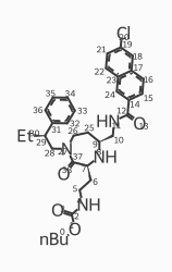 CCCCOC(=O)NCC[C@@H]1N[C@H](CNC(=O)c2ccc3cc(Cl)ccc3c2)CCN(C[C@@H](CC)c2ccccc2)C1=O